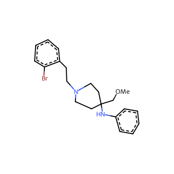 COCC1(Nc2ccccc2)CCN(CCc2ccccc2Br)CC1